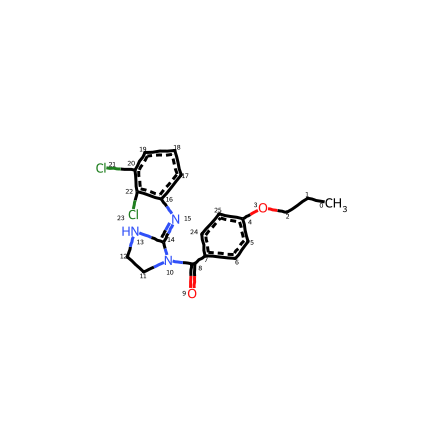 CCCOc1ccc(C(=O)N2CCNC2=Nc2cccc(Cl)c2Cl)cc1